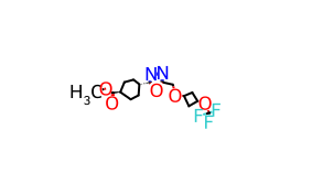 COC(=O)[C@H]1CC[C@H](c2nnc(CO[C@H]3C[C@@H](OC(F)(F)F)C3)o2)CC1